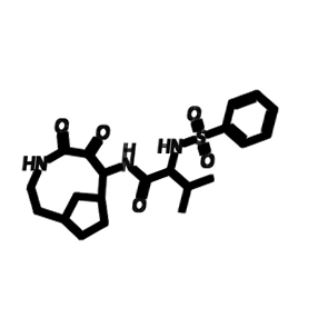 CC(C)C(NS(=O)(=O)c1ccccc1)C(=O)NC1C(=O)C(=O)NCCC2CCC1C2